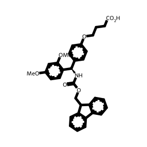 COc1ccc([C@H](NC(=O)OCC2c3ccccc3-c3ccccc32)c2ccc(OCCCC(=O)O)cc2)c(OC)c1